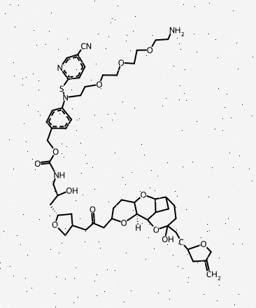 C=C1COC(CCC2(O)CCC3CC4C3OC3CCC(CC(=O)CC5CO[C@H](CC(O)CNC(=O)OCc6ccc(N(CCOCCOCCOCCN)Sc7ccc(C#N)cn7)cc6)C5)O[C@@H]3C4O2)C1